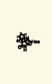 CCCCCCSC12C(=O)NC(=O)C1[C@@H]1CCC[C@@H]12